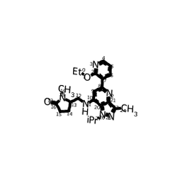 CCOc1ncccc1-c1cc(NCC2CCC(=O)N2C)c2c(n1)c(C)nn2C(C)C